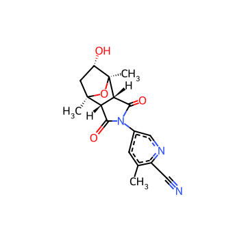 Cc1cc(N2C(=O)[C@@H]3[C@H](C2=O)[C@@]2(C)C[C@H](O)[C@]3(C)O2)cnc1C#N